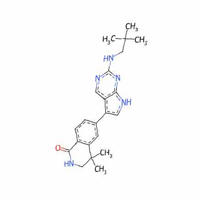 CC(C)(C)CNc1ncc2c(-c3ccc4c(c3)C(C)(C)CNC4=O)c[nH]c2n1